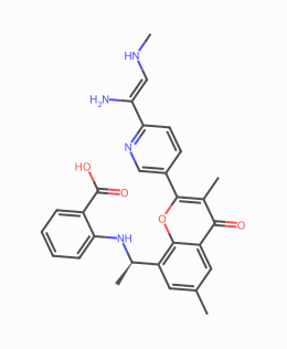 CN/C=C(\N)c1ccc(-c2oc3c([C@@H](C)Nc4ccccc4C(=O)O)cc(C)cc3c(=O)c2C)cn1